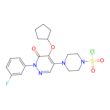 O=c1c(OC2CCCC2)c(N2CCN(S(=O)(=O)Cl)CC2)cnn1-c1cccc(F)c1